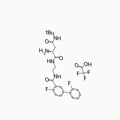 CC(C)(C)NC(=O)C[C@H](N)C(=O)NCCNC(=O)c1cc(-c2ccccc2F)ccc1F.O=C(O)C(F)(F)F